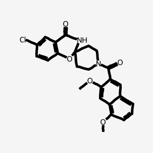 COc1cc2c(OC)cccc2cc1C(=O)N1CCC2(CC1)NC(=O)c1cc(Cl)ccc1O2